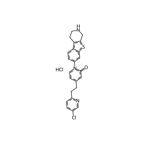 Cl.O=c1cc(CCc2ccc(Cl)cn2)ccn1-c1ccc2c3c(sc2c1)CNCC3